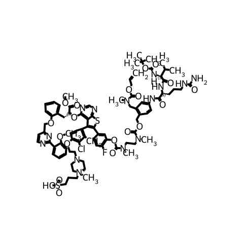 C=CCOC(=O)N(C)Cc1cc(NC(=O)[C@H](CCCNC(N)=O)NC(=O)[C@@H](NC(=O)OC(C)(C)C)C(C)C)ccc1COC(=O)N(C)CCN(C)C(=O)Oc1cc(-c2sc3ncnc(O[C@H](Cc4ccccc4OCc4ccnc(-c5ccccc5OC)n4)C(=O)OC)c3c2-c2ccc(OCCN3CC[N+](C)(CCCS(=O)(=O)O)CC3)c(Cl)c2C)ccc1F